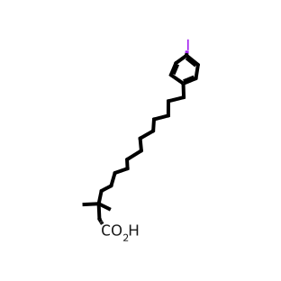 CC(C)(CCCCCCCCCCCCc1ccc(I)cc1)CC(=O)O